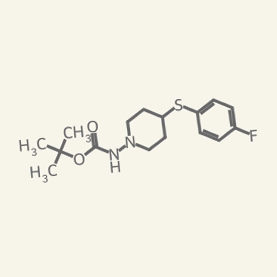 CC(C)(C)OC(=O)NN1CCC(Sc2ccc(F)cc2)CC1